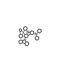 c1ccc(N(c2ccccc2)c2ccc3c(c2)c2cc(-n4c5ccccc5c5ccccc54)cc4c2n3-c2ccccc2C42c3ccccc3-c3ccccc32)cc1